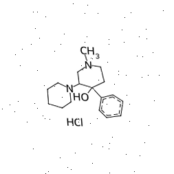 CN1CCC(O)(c2ccccc2)C(N2CCCCC2)C1.Cl